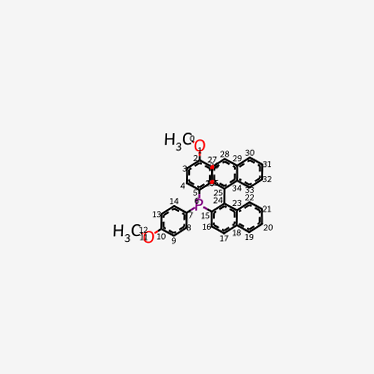 COc1ccc(P(c2ccc(OC)cc2)c2ccc3ccccc3c2-c2cccc3ccccc23)cc1